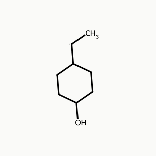 C[CH]C1CCC(O)CC1